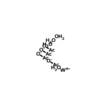 CC(=O)[O-].CC(=O)[O-].CC(=O)[O-].CC(=O)[O-].O.O.O.O.[W+4]